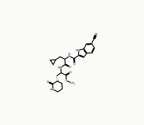 COC(=O)C(C[C@@H]1CCCNC1=O)NC(=O)C(CC1CC1)NC(=O)c1cc2ccc(C#N)cc2[nH]1